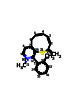 C=C1/C=C\C=C/Cc2cc[n+](C)c(-c3ccccc3C)c2S1